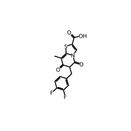 CC1=C2SC(C(=O)O)=CN2C(=O)C(Cc2ccc(F)c(F)c2)C1=O